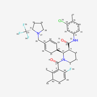 CC1=C(C(=O)N2CCC[C@H](C(=O)Nc3ccc(C)c(Cl)c3)[C@@H]2C2C=CC(CN3CCC[C@H]3C(F)(F)F)=CC2)C(F)=CCC1C